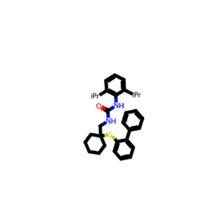 CC(C)c1cccc(C(C)C)c1NC(=O)NCC1(Sc2ccccc2-c2ccccc2)CCCCC1